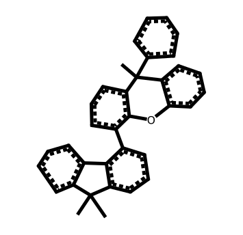 CC1(C)c2ccccc2-c2c(-c3cccc4c3Oc3ccccc3C4(C)c3ccccc3)cccc21